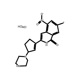 Cl.Cl.O=c1[nH]c(C2=CC(N3CCNCC3)CC2)cc2c([N+](=O)[O-])cc(F)cc12